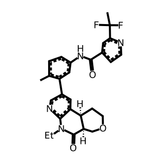 CCN1C(=O)[C@@H]2COCC[C@@H]2c2cc(-c3cc(NC(=O)c4ccnc(C(C)(F)F)c4)ccc3C)cnc21